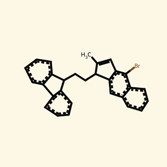 CC1=Cc2c(cc3ccccc3c2Br)C1CCC1c2ccccc2-c2ccccc21